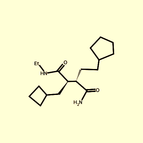 CCNC(=O)[C@H](CC1CCC1)[C@H](CCC1CCCC1)C(N)=O